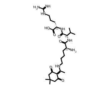 CC(NCCCC[C@H](N)C(=O)N[C@H](C(=O)N[C@@H](CCCNC(=N)N)C(=O)O)C(C)C)=C1C(=O)CC(C)(C)CC1=O